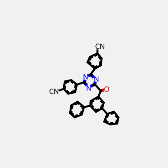 [C-]#[N+]c1ccc(-c2nc(C(=O)c3cc(-c4ccccc4)cc(-c4ccccc4)c3)nc(-c3ccc(C#N)cc3)n2)cc1